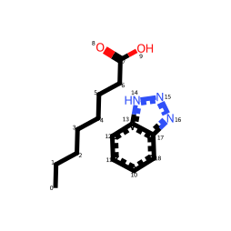 CCCCCCCC(=O)O.c1ccc2[nH]nnc2c1